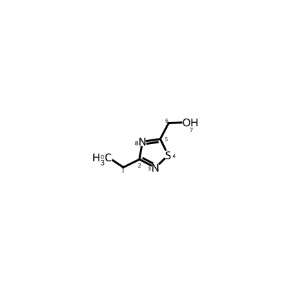 CCc1nsc(CO)n1